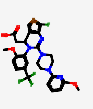 COc1cccc(N2CCN(C3=Nc4c(csc4F)C(CC(=O)O)N3c3cc(C(F)(F)F)ccc3OC)CC2)n1